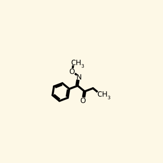 CCC(=O)/C(=N/OC)c1ccccc1